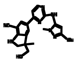 Cn1nc(C(C)(C)C)cc1Nc1nccc(-c2cc(C#N)c3c(c2)C(C)(CO)CN3)n1